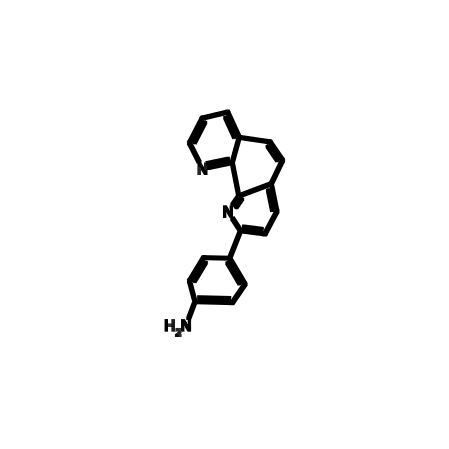 Nc1ccc(-c2ccc3ccc4cccnc4c3n2)cc1